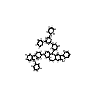 C1=Cc2cc3oc4ccccc4c3cc2N(c2cccc(-c3nc(-c4ccccc4)nc(-c4ccccc4)n3)c2)c2ccc(-c3ccc4c5ccccc5n(-c5ccccc5)c4c3)cc21